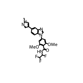 COc1cc(-n2cnc3cc(-c4cnn(C)c4)ccc32)cc(OC)c1C(=O)NC(F)C(F)F